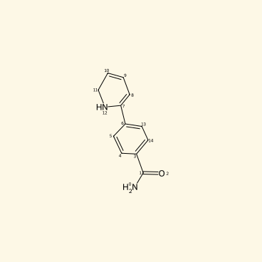 NC(=O)c1ccc(C2=CC=CCN2)cc1